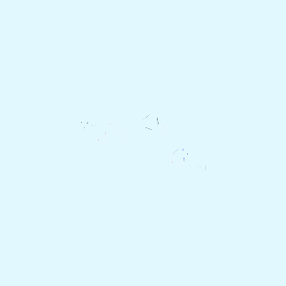 COC(=O)[C@]1(C)OC[C@@H](Cc2ccc(OCCc3nc(C(C)(C)C)oc3C)cc2)CO1